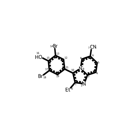 CCc1nc2ccc(C#N)cn2c1-c1cc(Br)c(O)c(Br)c1